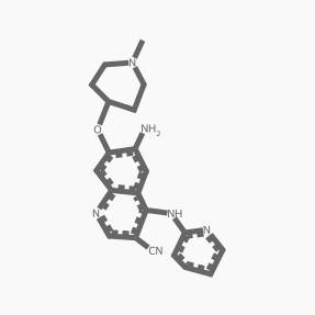 CN1CCC(Oc2cc3ncc(C#N)c(Nc4ccccn4)c3cc2N)CC1